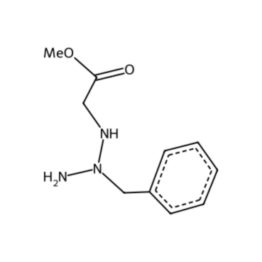 COC(=O)CNN(N)Cc1ccccc1